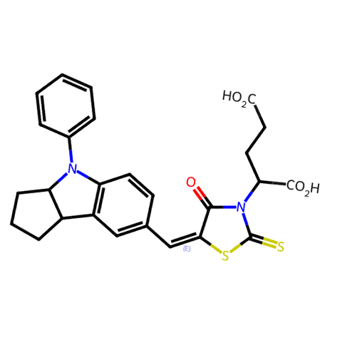 O=C(O)CCC(C(=O)O)N1C(=O)/C(=C\c2ccc3c(c2)C2CCCC2N3c2ccccc2)SC1=S